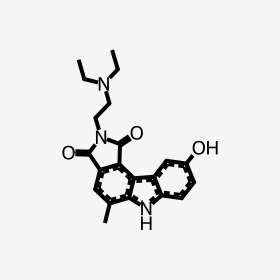 CCN(CC)CCN1C(=O)c2cc(C)c3[nH]c4ccc(O)cc4c3c2C1=O